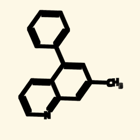 Cc1cc(-c2ccccc2)c2cccnc2c1